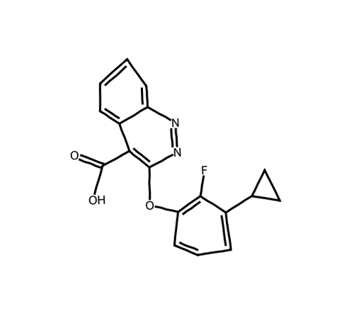 O=C(O)c1c(Oc2cccc(C3CC3)c2F)nnc2ccccc12